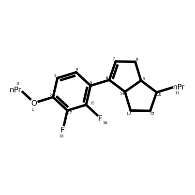 CCCOc1ccc(C2=CCC3C(CCC)CCC23)c(F)c1F